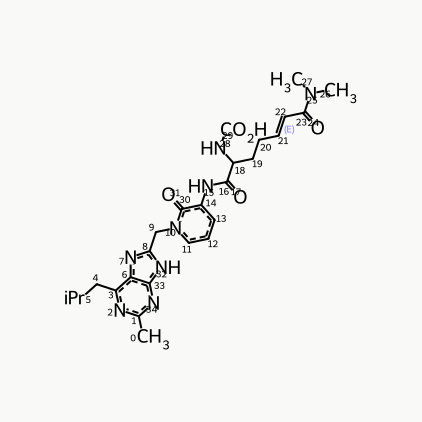 Cc1nc(CC(C)C)c2nc(Cn3cccc(NC(=O)C(CC/C=C/C(=O)N(C)C)NC(=O)O)c3=O)[nH]c2n1